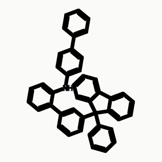 c1ccc(-c2ccc(Nc3ccccc3-c3cccc(C4(c5ccccc5)c5ccccc5-c5ccccc54)c3)cc2)cc1